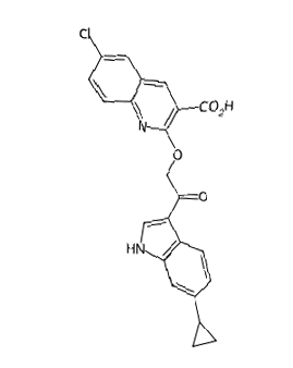 O=C(O)c1cc2cc(Cl)ccc2nc1OCC(=O)c1c[nH]c2cc(C3CC3)ccc12